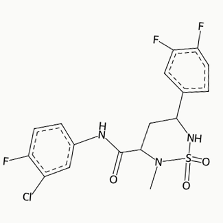 CN1C(C(=O)Nc2ccc(F)c(Cl)c2)CC(c2ccc(F)c(F)c2)NS1(=O)=O